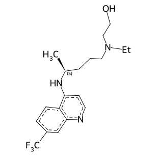 CCN(CCO)CCC[C@H](C)Nc1ccnc2cc(C(F)(F)F)ccc12